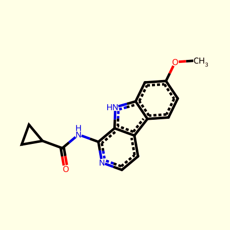 COc1ccc2c(c1)[nH]c1c(NC(=O)C3CC3)nccc12